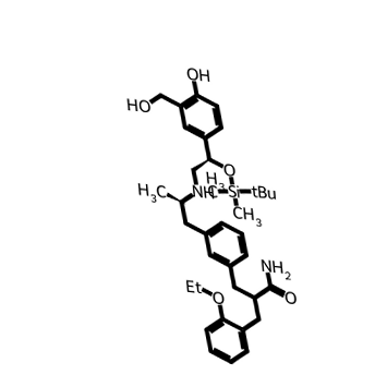 CCOc1ccccc1CC(Cc1cccc(C[C@@H](C)NC[C@H](O[Si](C)(C)C(C)(C)C)c2ccc(O)c(CO)c2)c1)C(N)=O